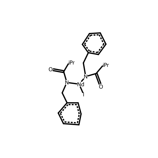 CC(C)C(=O)[N](Cc1ccccc1)[Nd]([I])[N](Cc1ccccc1)C(=O)C(C)C